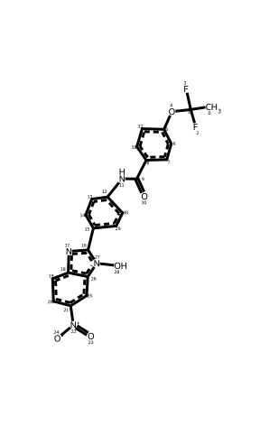 CC(F)(F)Oc1ccc(C(=O)Nc2ccc(-c3nc4ccc([N+](=O)[O-])cc4n3O)cc2)cc1